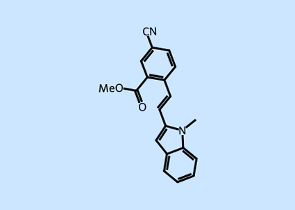 COC(=O)c1cc(C#N)ccc1/C=C/c1cc2ccccc2n1C